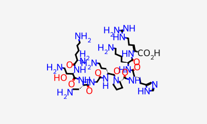 N=C(N)NCC/C=C(\NC(=O)[C@H](CCCCN)NC(=O)[C@H](CCc1cnc[nH]1)NC(=O)[C@@H]1CCCN1C(=O)[C@@H](CCCN)NC(=O)CNC(=O)[C@H](CCN)NC(=O)[C@@H](NC(=O)[C@@H](N)CCCCN)[C@@H](O)CN)C(=O)O